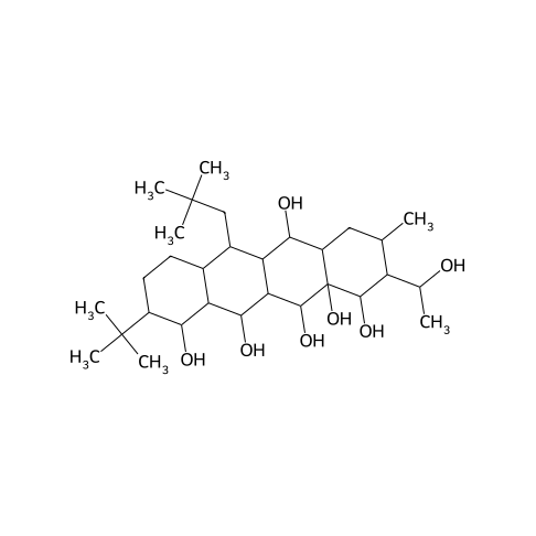 CC(O)C1C(C)CC2C(O)C3C(CC(C)(C)C)C4CCC(C(C)(C)C)C(O)C4C(O)C3C(O)C2(O)C1O